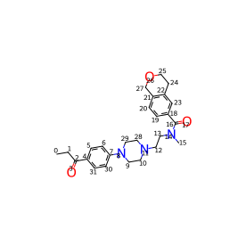 CCC(=O)c1ccc(N2CCN(CCN(C)C(=O)c3ccc4c(c3)CCOC4)CC2)cc1